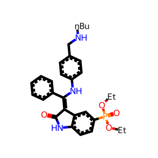 CCCCNCc1ccc(NC(=C2C(=O)Nc3ccc(P(=O)(OCC)OCC)cc32)c2ccccc2)cc1